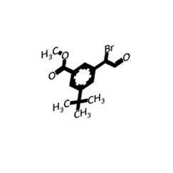 COC(=O)c1cc(C(Br)C=O)cc(C(C)(C)C)c1